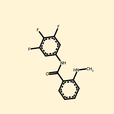 CNc1ccccc1C(=O)Nc1cc(F)c(F)c(F)c1